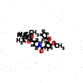 COc1ccc(C(=O)N2CC=C(B3OC(C)(C)C(C)(C)O3)CC2)cc1OC1CCCC1